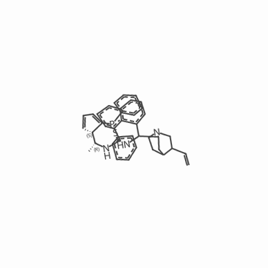 C=CC1CN2CCC1CC2C(NC(=S)N[C@H](C)[C@@H]1C=CC=C1P(c1ccccc1)c1ccccc1)c1cccc2ccccc12